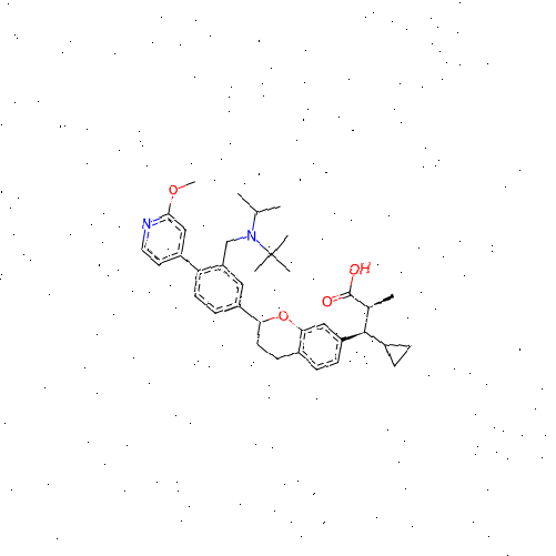 COc1cc(-c2ccc(C3CCc4ccc([C@H](C5CC5)[C@H](C)C(=O)O)cc4O3)cc2CN(C(C)C)C(C)(C)C)ccn1